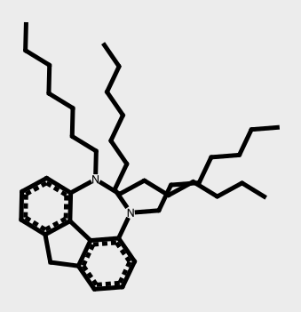 CCCCCCCN(CCCCCCC)c1cccc2c1-c1c(cccc1N(CCCCCCC)CCCCCCC)C2